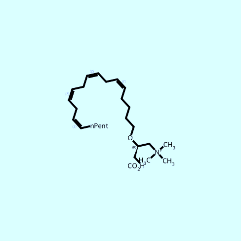 CCCCC/C=C\C/C=C\C/C=C\C/C=C\CCCCO[C@H](CC(=O)O)C[N+](C)(C)C